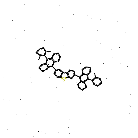 Cc1ccccc1-c1c2ccccc2c(-c2ccc3c(c2)sc2ccc(-c4c5ccccc5c(-c5c(C)cccc5C)c5ccccc45)cc23)c2ccccc12